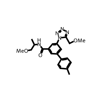 COCc1nnnn1-c1cc(C(=O)NC(C)COC)cc(-c2ccc(C)cc2)c1